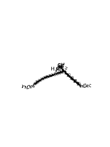 C=C(C)C(=O)NCC(CCCCCCCCCCCCCCCCCCCC)CCCCCCCCCCCCCCCCCCCCCCCCCCCCCCCC